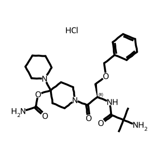 CC(C)(N)C(=O)N[C@H](COCc1ccccc1)C(=O)N1CCC(OC(N)=O)(N2CCCCC2)CC1.Cl